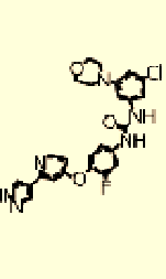 O=C(Nc1cc(Cl)cc(N2CCOCC2)c1)Nc1ccc(Oc2ccnc(-c3cn[nH]c3)c2)c(F)c1